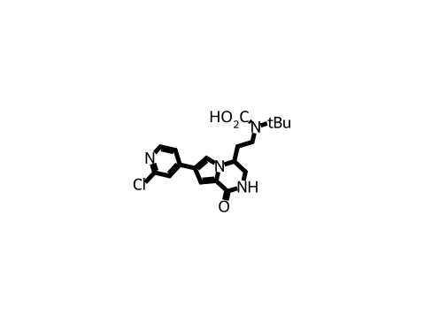 CC(C)(C)N(CCC1CNC(=O)c2cc(-c3ccnc(Cl)c3)cn21)C(=O)O